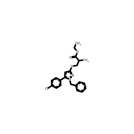 CCOC(=O)C(C)COc1cc(-c2ccc(Cl)cc2)n(Cc2ccccc2)n1